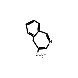 O=C(O)C1=CN=Cc2ccccc2C1